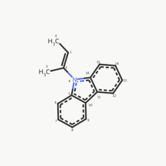 C/C=C(\C)n1c2ccccc2c2ccccc21